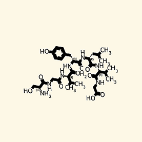 C=C(N[C@H](CC(C)C)C(=O)N[C@@H](C(=O)NCC(=O)O)C(C)C)[C@@H](Cc1ccc(O)cc1)NC(=O)[C@H](NC(=O)CNC(=O)[C@H](N)CO)C(C)C